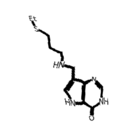 CCSCCCNCc1c[nH]c2c(=O)[nH]cnc12